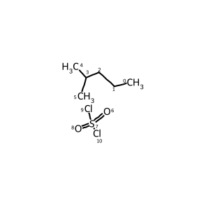 CCCC(C)C.O=S(=O)(Cl)Cl